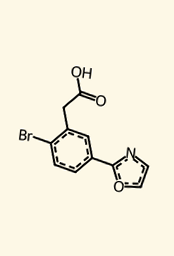 O=C(O)Cc1cc(-c2ncco2)ccc1Br